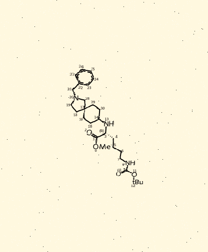 COC(=O)[C@@H](CCCCNC(=O)OC(C)(C)C)N[C@H]1CC[C@]2(CCN(Cc3ccccc3)C2)CC1